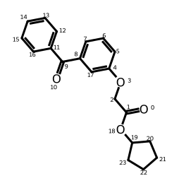 O=C(COc1cccc(C(=O)c2ccccc2)c1)OC1CCCC1